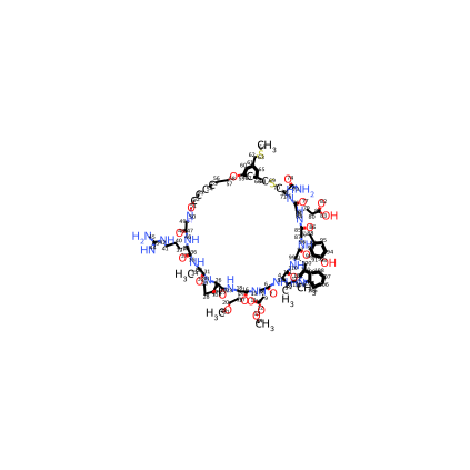 CC[C@H](C)[C@@H]1NC(=O)[C@H](CC(=O)OOC)NC(=O)[C@H](CCOC)NC(=O)[C@@H]2CCCN2C(=O)[C@H](C)NC(=O)[C@H](CCCNC(=N)N)NC(=O)/C=N/OCCCCCCOc2cc(CSC)cc(c2)CSC[C@@H](C(N)=O)NC(=O)[C@H](CCC(=O)O)NC(=O)[C@H](Cc2ccc(O)cc2)NC(=O)[C@H](Cc2c[nH]c3ccccc23)NC1=O